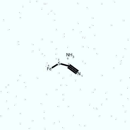 N.N#C[S][Fe]